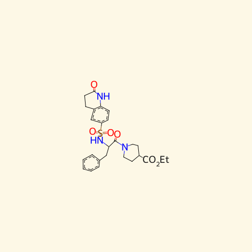 CCOC(=O)C1CCN(C(=O)C(Cc2ccccc2)NS(=O)(=O)c2ccc3c(c2)CCC(=O)N3)CC1